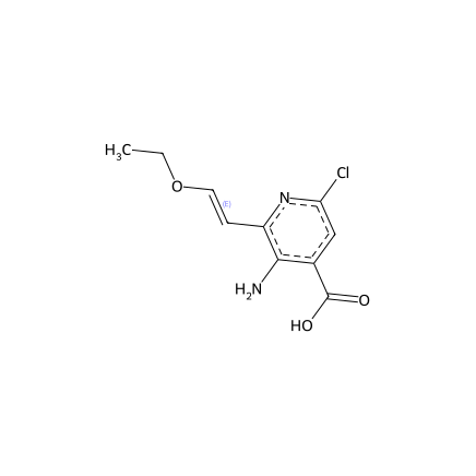 CCO/C=C/c1nc(Cl)cc(C(=O)O)c1N